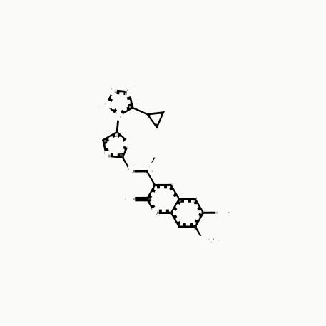 COc1cc2[nH]c(=O)c([C@H](C)Nc3ncc(-n4nnnc4C4CC4)s3)cc2cc1Cl